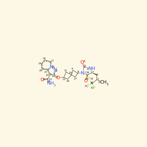 CC(C[C@@H]1NC(=O)N(C2CC3(CC(Oc4nn5ccccc5c4C(N)=O)C3)C2)C1=O)C(F)(F)F